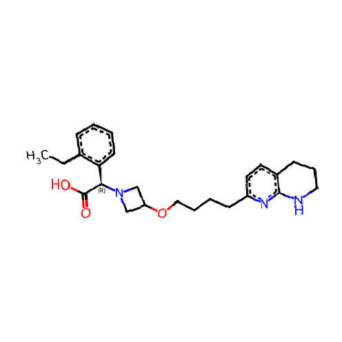 CCc1ccccc1[C@H](C(=O)O)N1CC(OCCCCc2ccc3c(n2)NCCC3)C1